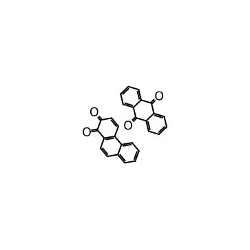 O=C1C=Cc2c(ccc3ccccc23)C1=O.O=C1c2ccccc2C(=O)c2ccccc21